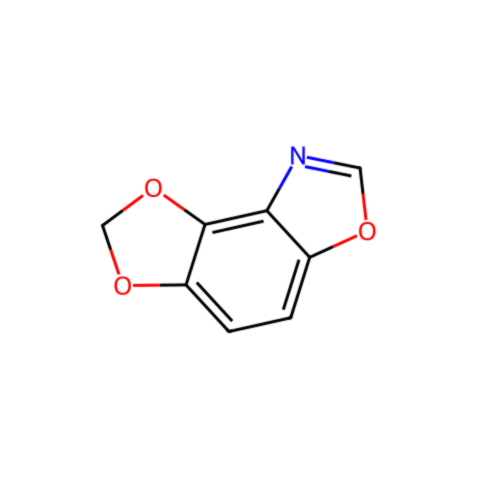 c1nc2c3c(ccc2o1)OCO3